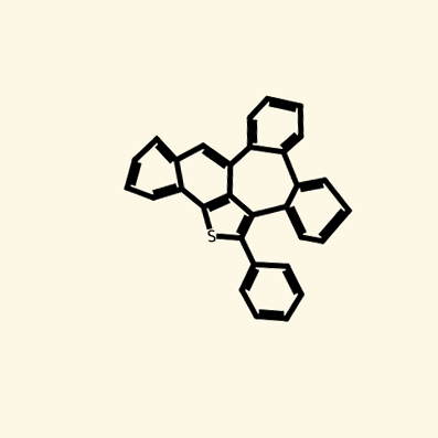 c1ccc(-c2sc3c4c(cc5ccccc53)-c3ccccc3-c3ccccc3-c24)cc1